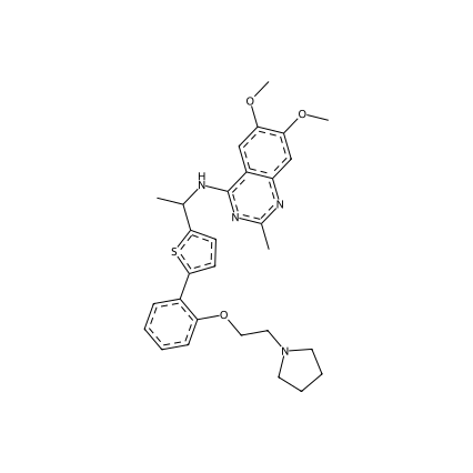 COc1cc2nc(C)nc(NC(C)c3ccc(-c4ccccc4OCCN4CCCC4)s3)c2cc1OC